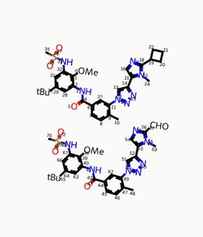 COc1c(NC(=O)c2ccc(C)c(-n3cc(-c4cnc(C5CCC5)n4C)nn3)c2)cc(C(C)(C)C)cc1NS(C)(=O)=O.COc1c(NC(=O)c2ccc(C)c(-n3cc(-c4cnc(C=O)n4C)nn3)c2)cc(C(C)(C)C)cc1NS(C)(=O)=O